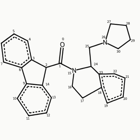 O=C(C1c2ccccc2-c2ccccc21)N1CCc2ccccc2C1CN1CCCC1